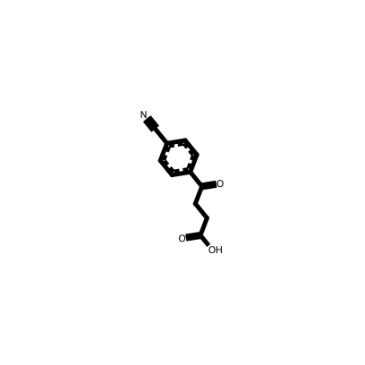 N#Cc1ccc(C(=O)CCC(=O)O)cc1